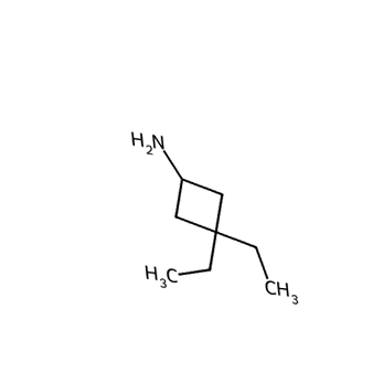 CCC1(CC)CC(N)C1